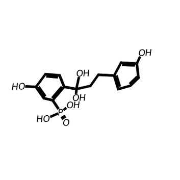 O=P(O)(O)c1cc(O)ccc1C(O)(O)CCc1cccc(O)c1